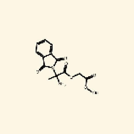 CC(C)(C)OC(=O)COC(=O)C(C)(N)N1C(=O)c2ccccc2C1=O